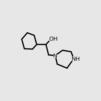 OC(CN1CCNCC1)C1CCCCC1